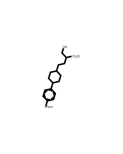 CCCCCc1ccc(C2CCC(CCC(CO)C(=O)OCC)CC2)cc1